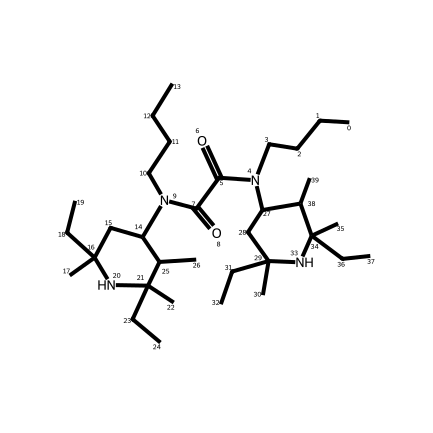 CCCCN(C(=O)C(=O)N(CCCC)C1CC(C)(CC)NC(C)(CC)C1C)C1CC(C)(CC)NC(C)(CC)C1C